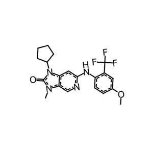 COc1ccc(Nc2cc3c(cn2)n(C)c(=O)n3C2CCCC2)c(C(F)(F)F)c1